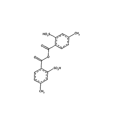 Cc1ccc(C(=O)OC(=O)c2ccc(C)cc2S(=O)(=O)O)c(S(=O)(=O)O)c1